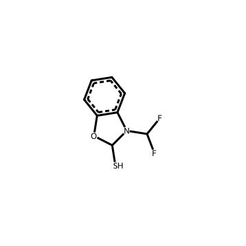 FC(F)N1c2ccccc2OC1S